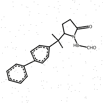 CC(C)(c1ccc(-c2ccccc2)cc1)C1CCC(=O)N1BC=O